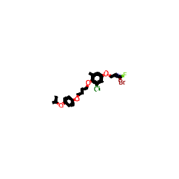 Cc1cc(OC/C=C(/F)Br)cc(Cl)c1OCCCCOc1ccc(OC(C)C)cc1